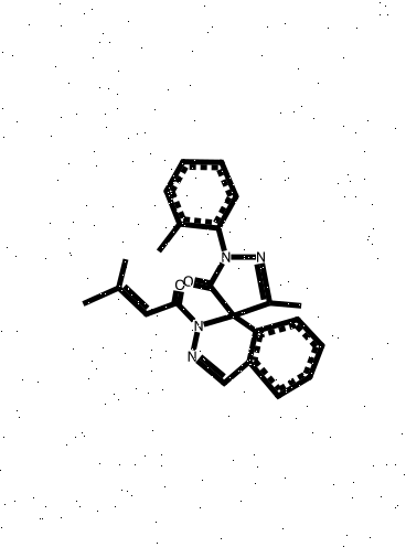 CC(C)=CC(=O)N1N=Cc2ccccc2C12C(=O)N(c1ccccc1C)N=C2C